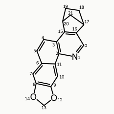 c1nc2c(ccc3cc4c(cc32)OCO4)c2c1C1CCC2C1